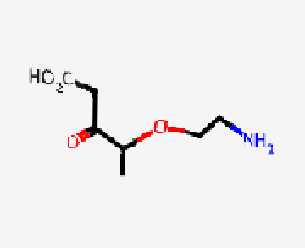 CC(OCCN)C(=O)CC(=O)O